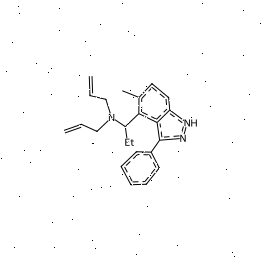 C=CCN(CC=C)C(CC)c1c(C)ccc2[nH]nc(-c3ccccc3)c12